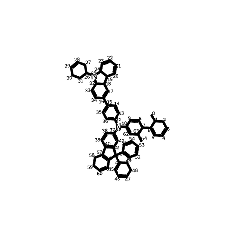 CC1CC=CC=C1C1C=CC(N(c2ccc(C3=CC4C5C=CC=CC5N(C5CC=CCC5)C4C=C3)cc2)c2ccc3c(c2)C(C2=CC=CCC2)(c2ccccc2)C2=C3CCC=C2)=CC1C